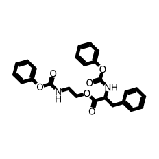 O=C(NCCOC(=O)C(Cc1ccccc1)NC(=O)Oc1ccccc1)Oc1ccccc1